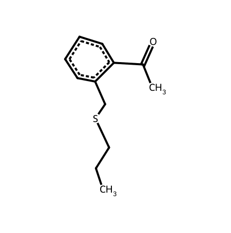 CCCSCc1ccccc1C(C)=O